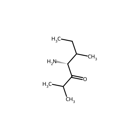 CCC(C)[C@@H](N)C(=O)C(C)C